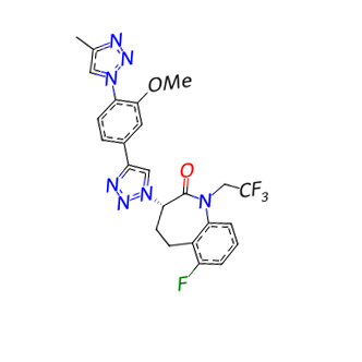 COc1cc(-c2cn([C@H]3CCc4c(F)cccc4N(CC(F)(F)F)C3=O)nn2)ccc1-n1cc(C)nn1